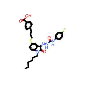 CCCCCCN1C(=O)/C(=N\NC(=O)Nc2ccc(F)cc2)c2cc(SCCCc3ccc(C(=O)O)cc3)ccc21